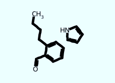 CCCCc1ccccc1C=O.c1cc[nH]c1